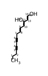 CCCC#CC#CCC=CC=C(O)C=CO